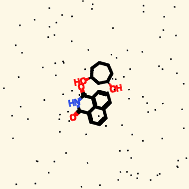 O=C1NC(=O)c2cccc3cccc1c23.O[C@H]1CCCC[C@H](O)C1